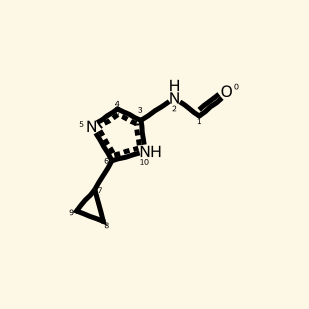 O=CNc1cnc(C2CC2)[nH]1